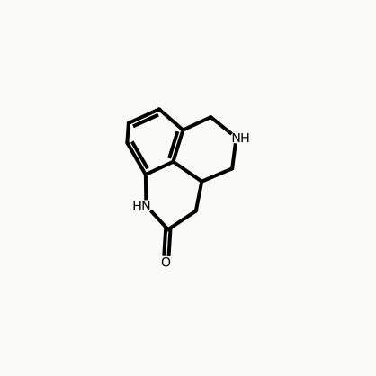 O=C1CC2CNCc3cccc(c32)N1